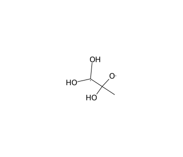 CC([O])(O)[C](O)O